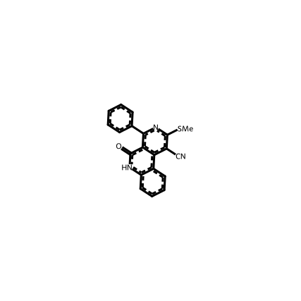 CSc1nc(-c2ccccc2)c2c(=O)[nH]c3ccccc3c2c1C#N